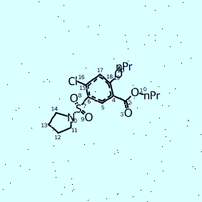 CCCOC(=O)c1cc(S(=O)(=O)N2CCCC2)c(Cl)cc1OCCC